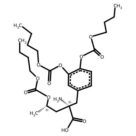 CCCCOC(=O)Oc1ccc(C[C@](N)(C[C@H](C)OC(=O)OCCCC)C(=O)O)cc1OC(=O)OCCCC